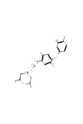 Cc1cc(Oc2ccc(I)c(F)c2)c(C)cc1N=CNN1CC(C)OC(C)C1